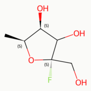 C[C@@H]1O[C@](F)(CO)C(O)[C@@H]1O